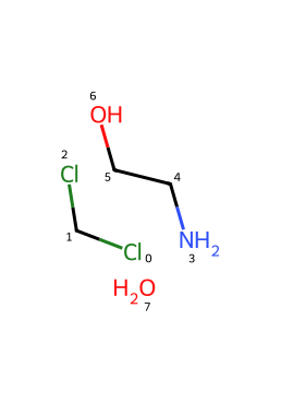 ClCCl.NCCO.O